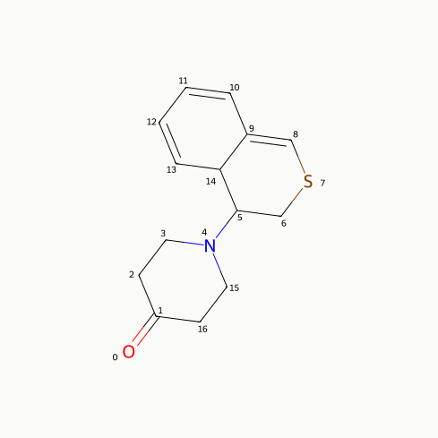 O=C1CCN(C2CSC=C3C=CC=CC32)CC1